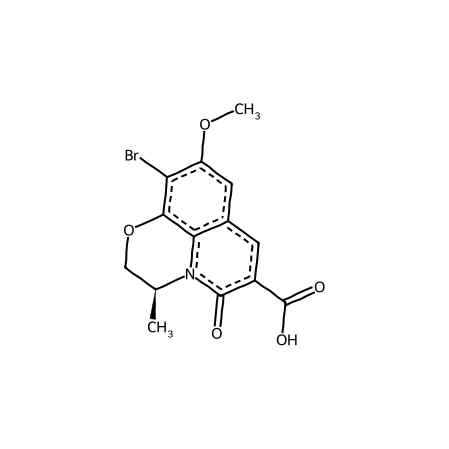 COc1cc2cc(C(=O)O)c(=O)n3c2c(c1Br)OC[C@@H]3C